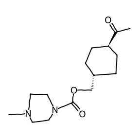 CC(=O)[C@H]1CC[C@H](COC(=O)N2CCN(C)CC2)CC1